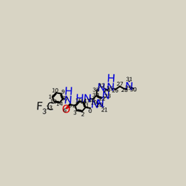 Cc1ccc(C(=O)Nc2cccc(C(F)(F)F)c2)cc1Nc1nn(C)c2nc(NCCCN(C)C)ncc12